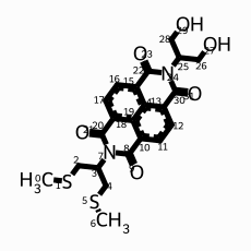 CSCC(CSC)N1C(=O)c2ccc3c4c(ccc(c24)C1=O)C(=O)N(C(CO)CO)C3=O